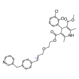 COC(=O)C1=C(C)NC(C)=C(C(=O)OCCOC/C=C/c2ccc(Cc3cccnc3)cc2)C1c1cccc(Cl)c1Cl